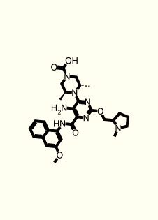 COc1cc(NC(=O)c2nc(OCC3CCCN3C)nc(N3[C@@H](C)CN(C(=O)O)C[C@@H]3C)c2N)c2ccccc2c1